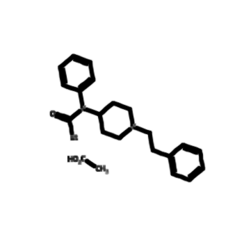 CC(=O)O.CCC(=O)N(c1ccccc1)C1CCN(CCc2ccccc2)CC1